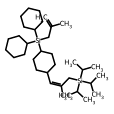 C=C(C)C[Si](C1CCCCC1)(C1CCCCC1)C1CCC(/C=C(/C)C[Si](C(C)C)(C(C)C)C(C)C)CC1